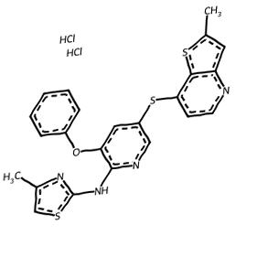 Cc1csc(Nc2ncc(Sc3ccnc4cc(C)sc34)cc2Oc2ccccc2)n1.Cl.Cl